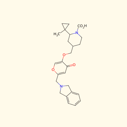 CC1(C2CC(COc3coc(CN4Cc5ccccc5C4)cc3=O)CCN2C(=O)O)CC1